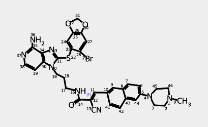 CN1CCN(c2ccc3cc(/C=C(\C#N)C(=O)NCCCn4c(Sc5cc6c(cc5Br)OCO6)nc5c(N)nccc54)ccc3c2)CC1